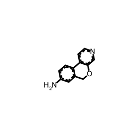 Nc1ccc2c(c1)COc1cnccc1-2